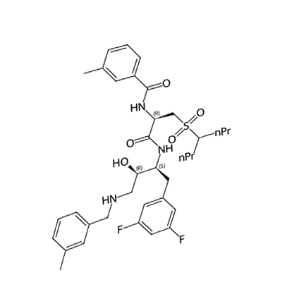 CCCC(CCC)S(=O)(=O)C[C@H](NC(=O)c1cccc(C)c1)C(=O)N[C@@H](Cc1cc(F)cc(F)c1)[C@H](O)CNCc1cccc(C)c1